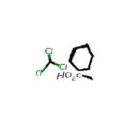 C1CCCCC1.CC(=O)O.ClC(Cl)Cl